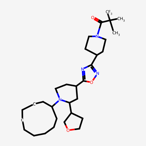 CC(C)(C(=O)N1CCC(c2noc(C3CCN(C4CCCCCCCCC4)C(C4CCOC4)C3)n2)CC1)C(F)(F)F